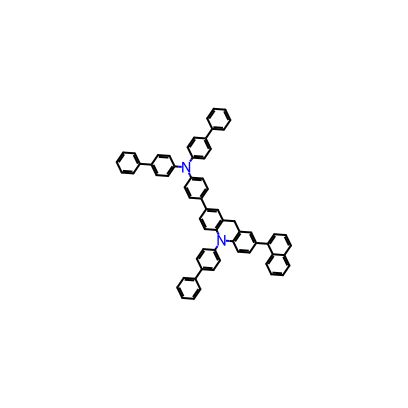 c1ccc(-c2ccc(N(c3ccc(-c4ccccc4)cc3)c3ccc(-c4ccc5c(c4)Cc4cc(-c6cccc7ccccc67)ccc4N5c4ccc(-c5ccccc5)cc4)cc3)cc2)cc1